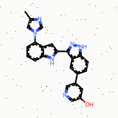 Cc1cn(-c2cccc3[nH]c(-c4n[nH]c5ccc(-c6cncc(O)c6)cc45)cc23)cn1